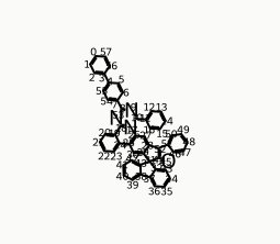 c1ccc(-c2ccc(-c3nc(-c4ccccc4)nc(-c4ccccc4-c4ccc5c(c4)C4(c6ccccc6-c6ccccc64)c4oc6ccccc6c4-5)n3)cc2)cc1